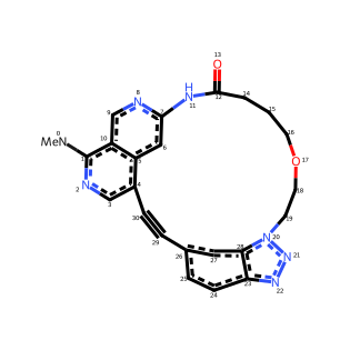 CNc1ncc2c3cc(ncc13)NC(=O)CCCOCCn1nnc3ccc(cc31)C#C2